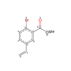 C=Cc1ccc(Br)c(C(=O)OC)c1